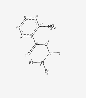 CCN(CC)C(C)OC(=O)c1ccccc1[N+](=O)[O-]